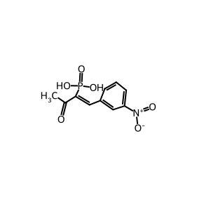 CC(=O)C(=Cc1cccc([N+](=O)[O-])c1)P(=O)(O)O